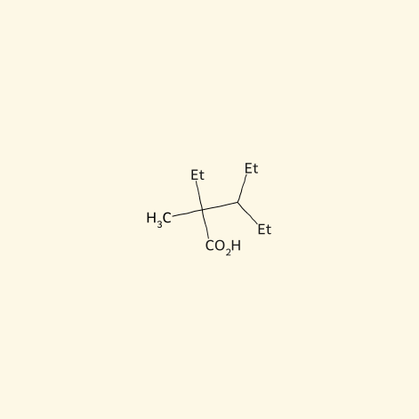 CCC(CC)C(C)(CC)C(=O)O